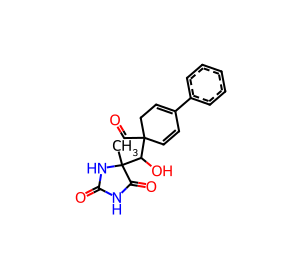 CC1(C(O)C2(C=O)C=CC(c3ccccc3)=CC2)NC(=O)NC1=O